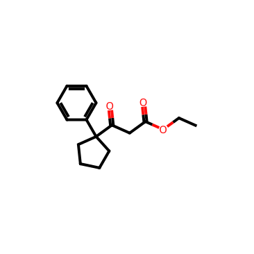 CCOC(=O)CC(=O)C1(c2ccccc2)CCCC1